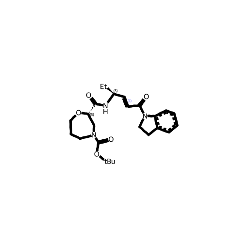 CC[C@@H](/C=C/C(=O)N1CCc2ccccc21)NC(=O)[C@@H]1CN(C(=O)OC(C)(C)C)CCCO1